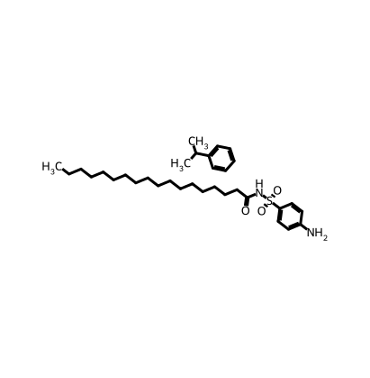 CC(C)c1ccccc1.CCCCCCCCCCCCCCCCCC(=O)NS(=O)(=O)c1ccc(N)cc1